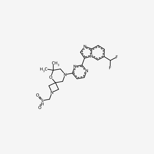 CC1(C)CN(c2ccnc(-c3cnc4ccc(C(F)F)cn34)n2)CC2(CN(C[SH](=O)=O)C2)O1